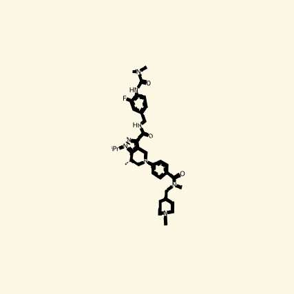 CC(C)n1nc(C(=O)NCc2ccc(NC(=O)N(C)C)c(F)c2)c2c1[C@@H](C)CN(c1ccc(C(=O)N(C)CC3CCN(C)CC3)cc1)C2